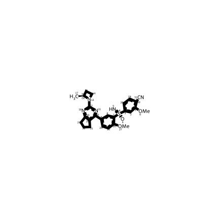 COc1cc(S(=N)(=O)c2cc(-c3nc(N4CC[C@@H]4C)nc4c3CCC4)ccc2OC)ccc1C#N